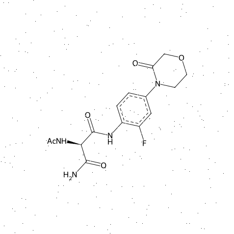 CC(=O)N[C@H](C(N)=O)C(=O)Nc1ccc(N2CCOCC2=O)cc1F